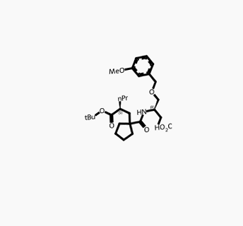 CCC[C@@H](CC1(C(=O)N[C@@H](COCc2cccc(OC)c2)CC(=O)O)CCCC1)C(=O)OC(C)(C)C